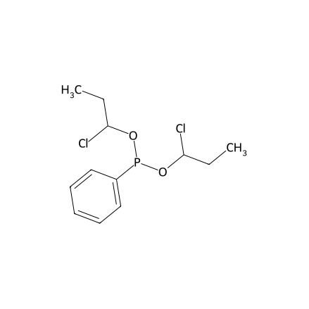 CCC(Cl)OP(OC(Cl)CC)c1ccccc1